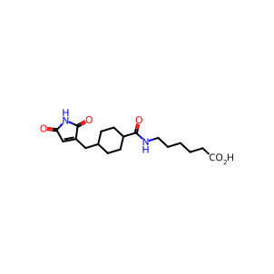 O=C(O)CCCCCNC(=O)C1CCC(CC2=CC(=O)NC2=O)CC1